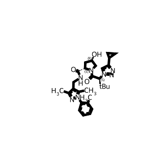 Cc1ccccc1-n1nc(C)c(CNC(=O)[C@@H]2C[C@@H](O)CN2C(=O)[C@@H](n2cc(C3CC3)nn2)C(C)(C)C)c1C